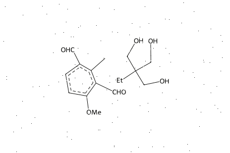 CCC(CO)(CO)CO.COc1ccc(C=O)c(C)c1C=O